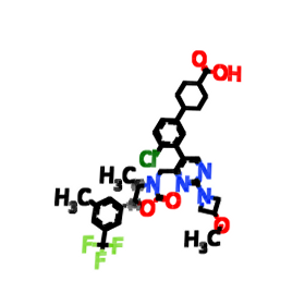 COC1CN(c2ncc(-c3cc(C4CCC(C(=O)O)CC4)ccc3Cl)c(CN3C(=O)O[C@H](c4cc(C)cc(C(F)(F)F)c4)[C@@H]3C)n2)C1